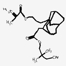 C=C(C)C(=O)OCCC12CC3CC(CC(C3)C1CC(=O)OCC(C)(C)CC#N)C2